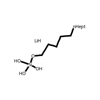 CCCCCCCCCCCCO[Si](O)(O)O.[LiH]